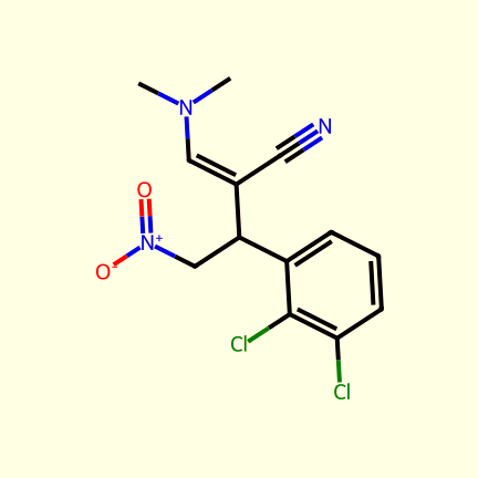 CN(C)C=C(C#N)C(C[N+](=O)[O-])c1cccc(Cl)c1Cl